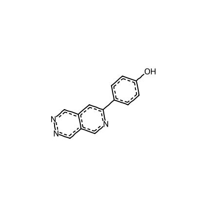 Oc1ccc(-c2cc3cnncc3cn2)cc1